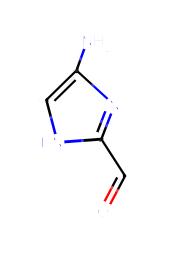 Nc1c[nH]c(C=O)n1